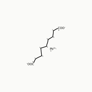 O=C([O-])CCCCCCCC(=O)[O-].[Pb+2]